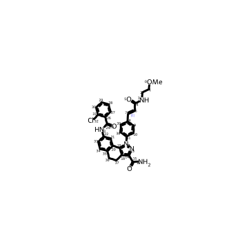 COCCNC(=O)/C=C/c1ccc(-n2nc(C(N)=O)c3c2-c2cc(NC(=O)c4ccccc4Cl)ccc2CC3)cc1